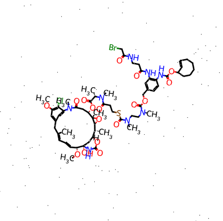 COc1cc2cc(c1Cl)N(C)C(=O)C[C@H](OC(=O)[C@H](C)N(C)C(=O)CCSC(=O)N(C)CCN(C)C(=O)OCc1ccc(NC(=O)OC3/C=C/CCCCC3)c(NC(=O)CCNC(=O)CBr)c1)[C@]1(C)OC1[C@H](C)[C@@H]1C[C@@](O)(NC(=O)O1)[C@H](OC)/C=C/C=C(\C)C2